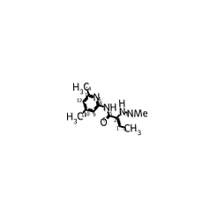 C/C=C(\NNC)C(=O)Nc1cc(C)cc(C)n1